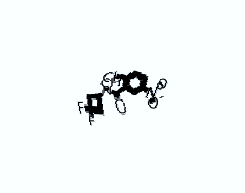 CN(C(=O)c1cc([N+](=O)[O-])ccc1Cl)C1CC(F)(F)C1